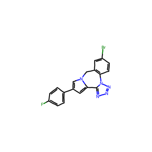 Fc1ccc(-c2cc3n(c2)Cc2cc(Br)ccc2-n2nnnc2-3)cc1